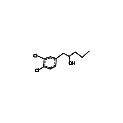 CCCC(O)Cc1ccc(Cl)c(Cl)c1